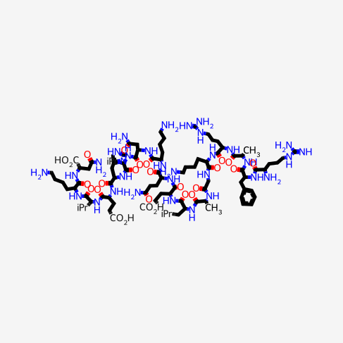 CC(C)CC(NC(=O)C(C)NC(=O)CNC(=O)C(CCCCN)NC(=O)C(CCCNC(=N)N)NC(=O)C(C)NC(=O)C(Cc1ccccc1)NC(=O)C(N)CCCNC(=N)N)C(=O)NC(CCC(=O)O)C(=O)NC(CCC(N)=O)C(=O)NC(CCCCN)C(=O)NC(CC(N)=O)C(=O)NC(C(=O)NC(Cc1c[nH]cn1)C(=O)NC(CCC(=O)O)C(=O)NC(C(=O)NC(CCCCN)C(=O)NC(CC(N)=O)C(=O)O)C(C)C)C(C)C